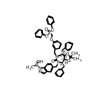 CB(O)n1ncc2cc(CN3C(=O)N(Cc4cccc(OCP(=O)(Oc5ccccc5)Oc5ccccc5)c4)[C@H](Cc4ccccc4)[C@@H]4OC(C)(C)O[C@H]4[C@H]3Cc3ccccc3)ccc21